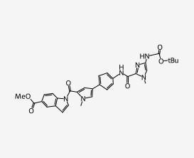 COC(=O)c1ccc2c(ccn2C(=O)c2cc(-c3ccc(NC(=O)c4nc(NC(=O)OC(C)(C)C)cn4C)cc3)cn2C)c1